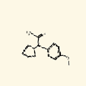 COc1ccc(C(C(N)=O)N2CCCC2)cc1